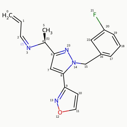 C=C/C=N\[C@@H](C)c1cc(-c2ccon2)n(Cc2cccc(F)c2)n1